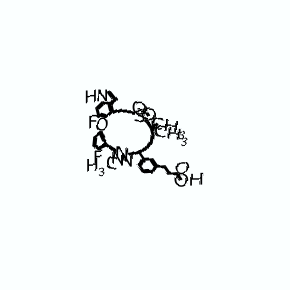 Cn1nc2nc1-c1cc(ccc1F)Oc1c(F)cc3[nH]ccc3c1CCS(=O)(=O)CC(C)(C)CCCC2c1cccc(CCC(=O)O)c1